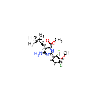 COC(=O)c1nc(-c2ccc(Cl)c(OC)c2F)nc(N)c1C#C[Si](C)(C)C